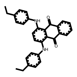 CCc1ccc(Nc2ccc(Nc3ccc(CC)cc3)c3c2C(=O)c2ccccc2C3=O)cc1